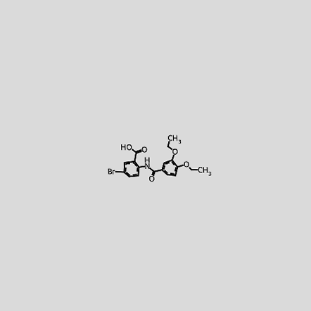 CCOc1ccc(C(=O)Nc2ccc(Br)cc2C(=O)O)cc1OCC